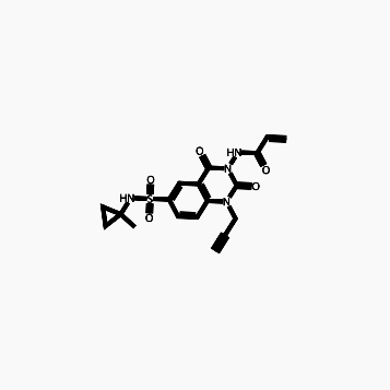 C#CCn1c(=O)n(NC(=O)C=C)c(=O)c2cc(S(=O)(=O)NC3(C)CC3)ccc21